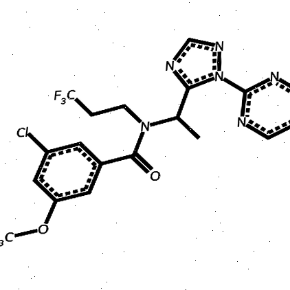 CC(c1ncnn1-c1ncccn1)N(CCC(F)(F)F)C(=O)c1cc(Cl)cc(OC(F)(F)F)c1